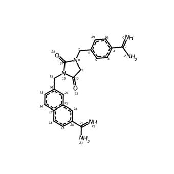 N=C(N)c1ccc(CN2CC(=O)N(Cc3ccc4ccc(C(=N)N)cc4c3)C2=O)cc1